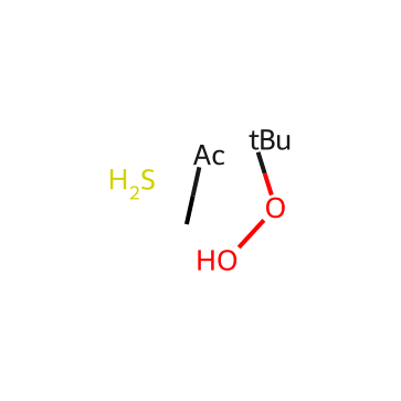 CC(C)(C)OO.CC(C)=O.S